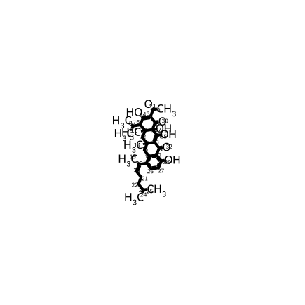 CC(=O)C1=C(O)C(C(C)C)[C@@]2(C)C[C@@]3(C)Cc4c(/C(C)=C\CCC(C)C)ccc(O)c4C(=O)C3=C(O)[C@@]2(O)C1=O